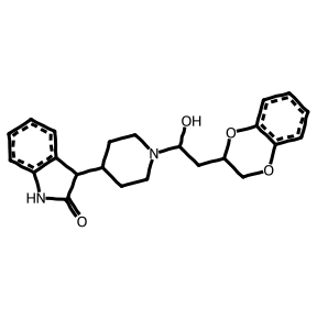 O=C1Nc2ccccc2C1C1CCN(C(O)CC2COc3ccccc3O2)CC1